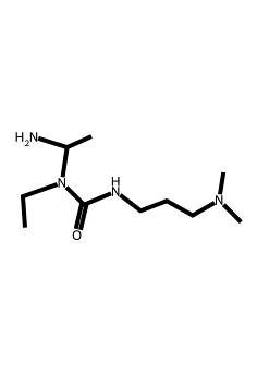 CCN(C(=O)NCCCN(C)C)C(C)N